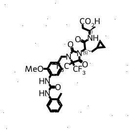 COc1cc(CN2C(=O)N([C@@H](CC3CC3)C(=O)N[C@H](C)CC(=O)O)C(=O)C2(C(F)(F)F)C(F)(F)F)ccc1NC(=O)Nc1ccccc1C